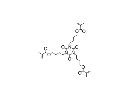 C=C(C)C(=O)OCCCCn1c(=O)n(CCCCOC(=O)C(=C)C)c(=O)n(CCCCOC(=O)C(=C)C)c1=O